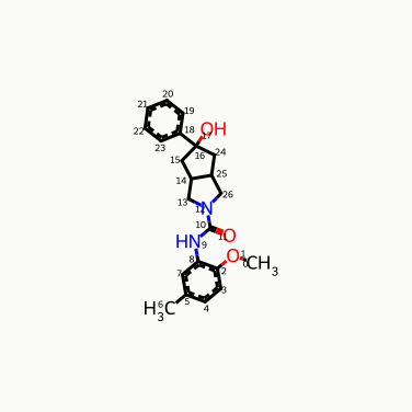 COc1ccc(C)cc1NC(=O)N1CC2CC(O)(c3ccccc3)CC2C1